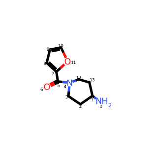 NC1CCN(C(=O)c2ccco2)CC1